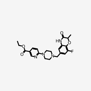 CCOC(=O)c1ccc(N2CCN(Cc3cc(F)c4c(c3)NC(=O)C(C)O4)CC2)nc1